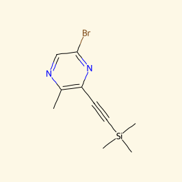 Cc1ncc(Br)nc1C#C[Si](C)(C)C